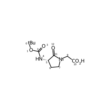 CC(C)(C)OC(=O)N[C@H]1CCN(CC(=O)O)C1=O